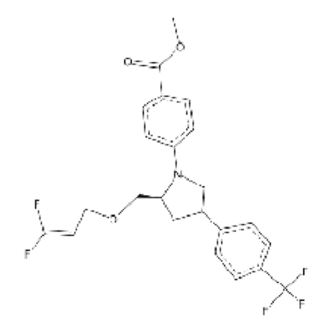 COC(=O)c1ccc(N2CC(c3ccc(C(F)(F)F)cc3)C[C@H]2COCC=C(F)F)cc1